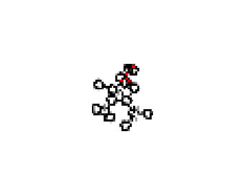 c1ccc(-c2ccc3c(c2)c2cc(-c4ccccc4)ccc2n3-c2c(-c3cccc(-n4c5ccccc5c5ccccc54)c3)cc(-c3cc(-c4ccccc4)nc(-c4ccccc4)n3)cc2-c2cccc(-n3c4ccccc4c4ccccc43)c2)cc1